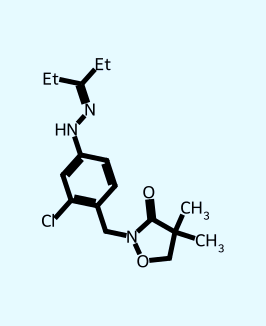 CCC(CC)=NNc1ccc(CN2OCC(C)(C)C2=O)c(Cl)c1